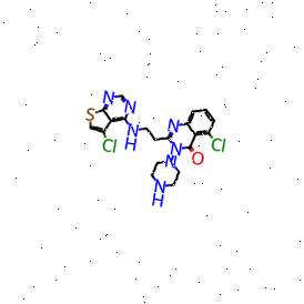 O=c1c2c(Cl)cccc2nc(CCNc2ncnc3scc(Cl)c23)n1N1CCNCC1